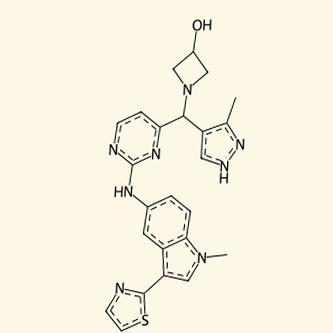 Cc1n[nH]cc1C(c1ccnc(Nc2ccc3c(c2)c(-c2nccs2)cn3C)n1)N1CC(O)C1